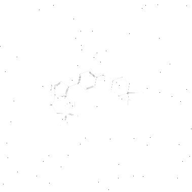 O=S1(=O)CCn2ncc(-c3ccc(OC4CCC(F)(F)CC4)cc3)c2N1